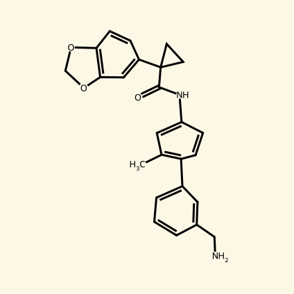 Cc1cc(NC(=O)C2(c3ccc4c(c3)OCO4)CC2)ccc1-c1cccc(CN)c1